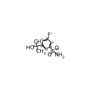 CC(C)(O)c1cc(F)cc(S(N)(=O)=O)c1